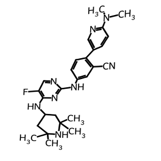 CN(C)c1ccc(-c2ccc(Nc3ncc(F)c(NC4CC(C)(C)NC(C)(C)C4)n3)cc2C#N)cn1